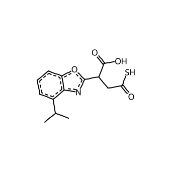 CC(C)c1cccc2oc(C(CC(=O)S)C(=O)O)nc12